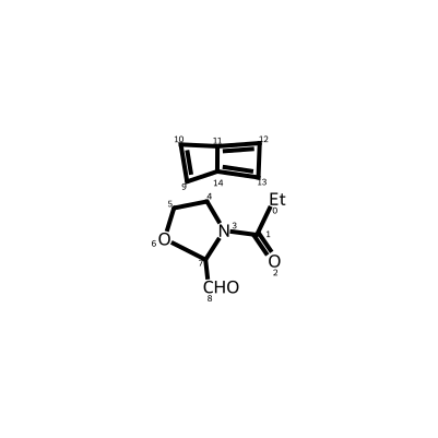 CCC(=O)N1CCOC1C=O.c1cc2ccc1-2